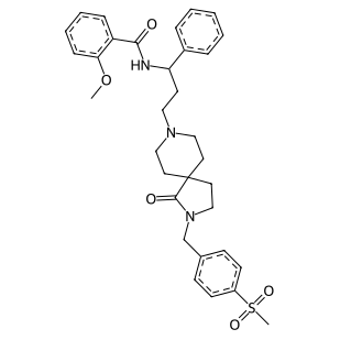 COc1ccccc1C(=O)NC(CCN1CCC2(CC1)CCN(Cc1ccc(S(C)(=O)=O)cc1)C2=O)c1ccccc1